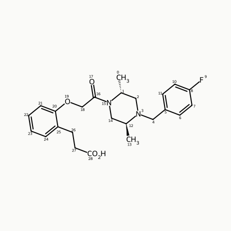 C[C@@H]1CN(Cc2ccc(F)cc2)[C@@H](C)CN1C(=O)COc1ccccc1CCC(=O)O